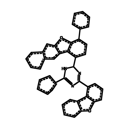 c1ccc(C2=NC(c3cccc4oc5ccccc5c34)=NC(c3ccc(-c4ccccc4)c4oc5cc6ccccc6cc5c34)N2)cc1